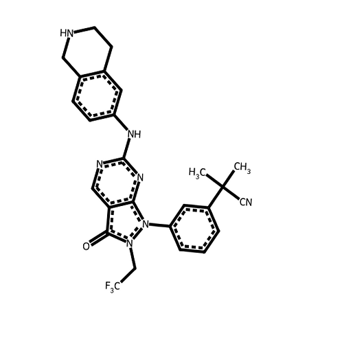 CC(C)(C#N)c1cccc(-n2c3nc(Nc4ccc5c(c4)CCNC5)ncc3c(=O)n2CC(F)(F)F)c1